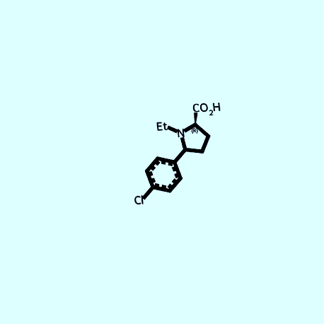 CCN1C(c2ccc(Cl)cc2)CC[C@@H]1C(=O)O